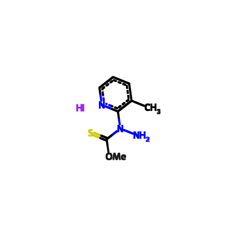 COC(=S)N(N)c1ncccc1C.I